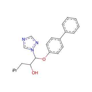 CC(C)CC(O)C(Oc1ccc(-c2ccccc2)cc1)n1cncn1